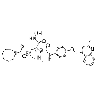 Cc1cc(COc2ccc(NC(=O)[C@@H]3[C@@H](C(=O)NO)C[C@H](OC(=O)N4CCCCCC4)CN3C)cc2)c2ccccc2n1